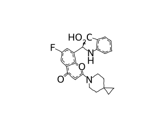 C[C@@H](Nc1ccccc1C(=O)O)c1cc(F)cc2c(=O)cc(N3CCC4(CC3)CC4)oc12